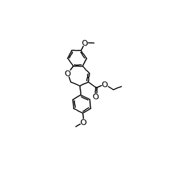 CCOC(=O)C1=Cc2cc(OC)ccc2OCC1c1ccc(OC)cc1